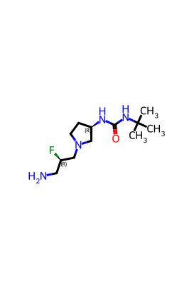 CC(C)(C)NC(=O)N[C@@H]1CCN(C[C@H](F)CN)C1